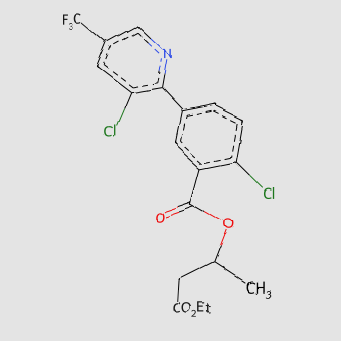 CCOC(=O)CC(C)OC(=O)c1cc(-c2ncc(C(F)(F)F)cc2Cl)ccc1Cl